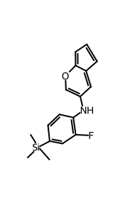 C[Si](C)(C)c1ccc(Nc2coc3cccc-3c2)c(F)c1